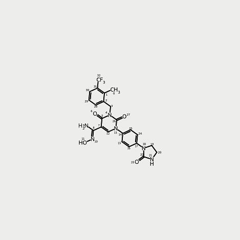 Cc1c(Cn2c(=O)c(/C(N)=N/O)cn(-c3ccc(N4CCNC4=O)cc3)c2=O)cccc1C(F)(F)F